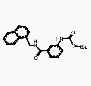 CC(C)(C)OC(=O)Nc1cccc(C(=O)NCc2cccc3ccccc23)c1